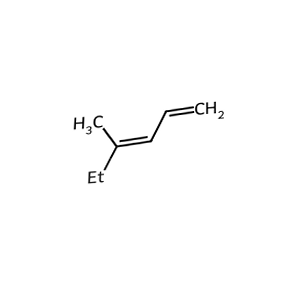 C=C/C=C(\C)CC